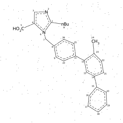 CCCCc1ncc(C(=O)O)n1Cc1ccc(-c2cc(-c3ccccc3)ccc2C)cc1